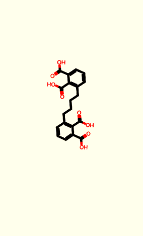 O=C(O)c1cccc(CCCCc2cccc(C(=O)O)c2C(=O)O)c1C(=O)O